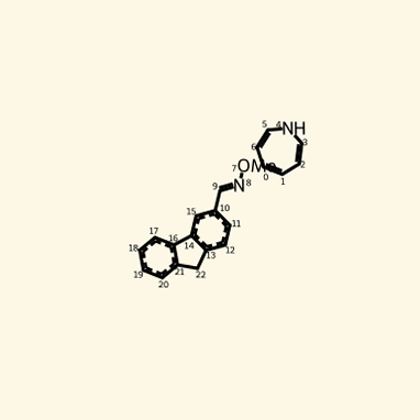 C1=CC=CNC=C1.CON=Cc1ccc2c(c1)-c1ccccc1C2